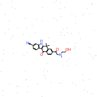 CN(CCO)CC(=O)c1ccc2c(c1)C(C)(C)c1[nH]c3cc(C#N)ccc3c1C2=O